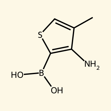 Cc1csc(B(O)O)c1N